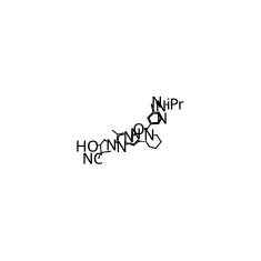 Cc1cn2nc([C@@H]3CCCCN3C(=O)c3cnc4c(cnn4C(C)C)c3)cc2nc1N1C[C@@H](C#N)[C@@H](O)C1